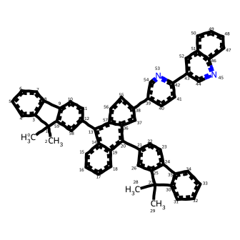 CC1(C)c2ccccc2-c2ccc(-c3c4ccccc4c(-c4ccc5c(c4)C(C)(C)c4ccccc4-5)c4cc(-c5ccc(-c6cnc7ccccc7c6)nc5)ccc34)cc21